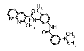 Cc1ccc(NC(=O)c2cccc(N(C)C)c2)cc1NC(=O)c1cc2cccnc2nc1C